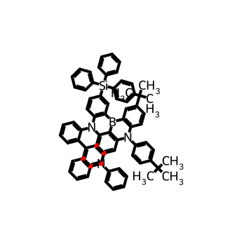 CC(C)(C)c1ccc(N2c3ccc(C(C)(C)C)cc3B3c4cc([Si](c5ccccc5)(c5ccccc5)c5ccccc5)ccc4N(c4ccccc4-c4ccccc4)c4cc(N(c5ccccc5)c5ccccc5)cc2c43)cc1